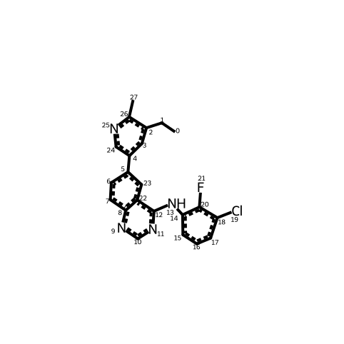 CCc1cc(-c2ccc3ncnc(Nc4cccc(Cl)c4F)c3c2)cnc1C